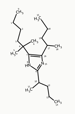 CCCCC(C)(C)c1[nH]c(C(C)CCC)nc1C(C)CCC